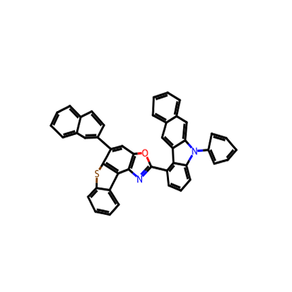 c1ccc(-n2c3cc4ccccc4cc3c3c(-c4nc5c(cc(-c6ccc7ccccc7c6)c6sc7ccccc7c65)o4)cccc32)cc1